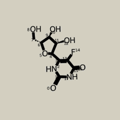 O=c1[nH]c(C2O[C@H](CO)[C@@H](O)[C@H]2O)c(F)c(=O)[nH]1